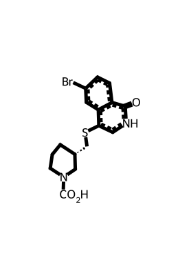 O=C(O)N1CCC[C@H](CSc2c[nH]c(=O)c3ccc(Br)cc23)C1